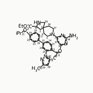 CCOC(=O)[C@@H]1CC2(CCN(c3cc(O[C@H](c4ccc(-c5ccc(OC(C)C)cc5)cc4-n4ccc(C)n4)C(F)(F)F)nc(N)n3)CC2)CN1